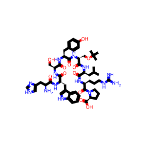 CC(C)C[C@H](NC(=O)[C@@H](COC(C)(C)C)NC(=O)[C@H](Cc1ccc(O)cc1)NC(=O)[C@H](CO)NC(=O)[C@H](Cc1c[nH]c2ccccc12)NC(=O)[C@@H](N)Cc1c[nH]cn1)C(=O)N[C@@H](CCCNC(=N)N)C(=O)N1CCC[C@H]1C(=O)O